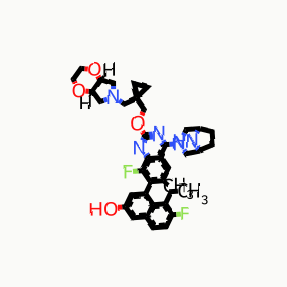 CCc1c(F)ccc2cc(O)cc(-c3c(C)cc4c(N5CC6CCC(C5)N6)nc(OCC5(CN6C[C@@H]7OCCO[C@@H]7C6)CC5)nc4c3F)c12